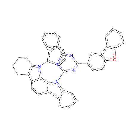 C1=Cc2c(c3ccc4c5ccccc5n(-c5nc(-c6ccccc6)nc(-c6ccc7oc8ccccc8c7c6)n5)c4c3n2-c2ccccc2)CC1